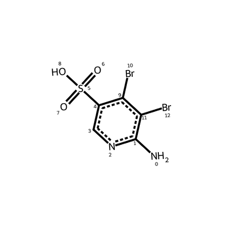 Nc1ncc(S(=O)(=O)O)c(Br)c1Br